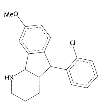 COc1ccc2c(c1)C1NCCCC1C2c1ccccc1Cl